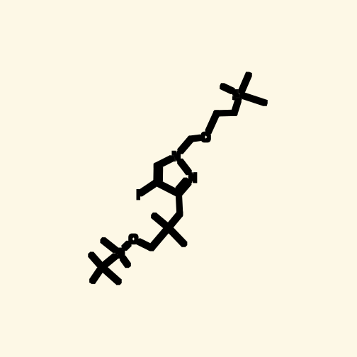 CC(C)(CO[Si](C)(C)C(C)(C)C)Cc1nn(COCC[Si](C)(C)C)cc1I